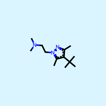 Cc1nn(CCN(C)C)c(C)c1C(C)(C)C